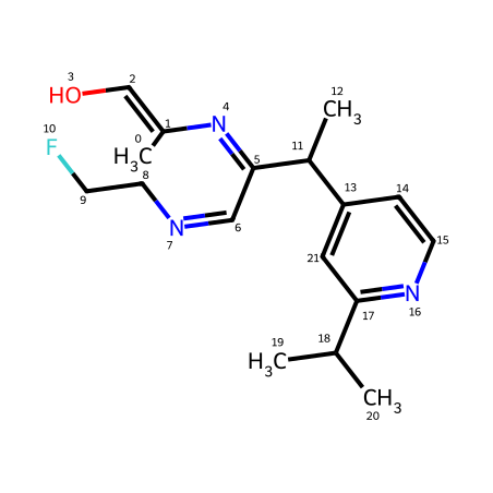 CC(=C\O)/N=C(\C=N/CCF)C(C)c1ccnc(C(C)C)c1